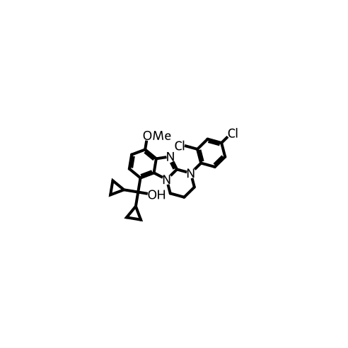 COc1ccc(C(O)(C2CC2)C2CC2)c2c1nc1n2CCCN1c1ccc(Cl)cc1Cl